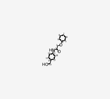 O=C(COc1c[c]ccc1)Nc1ccc(CO)cc1